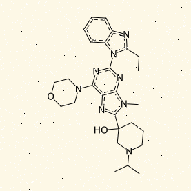 CCc1nc2ccccc2n1-c1nc(N2CCOCC2)c2nc(C3(O)CCCN(C(C)C)C3)n(C)c2n1